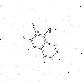 Cc1cc2ccncc2c(Cl)c1Cl